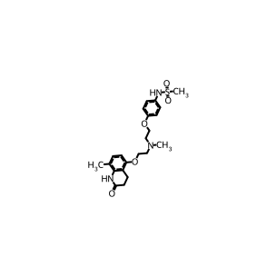 Cc1ccc(OCCN(C)CCOc2ccc(NS(C)(=O)=O)cc2)c2c1NC(=O)CC2